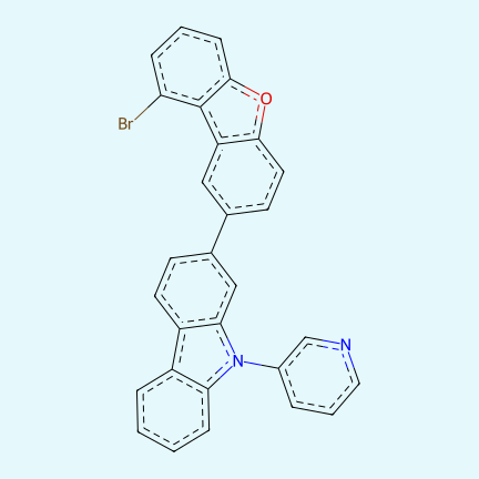 Brc1cccc2oc3ccc(-c4ccc5c6ccccc6n(-c6cccnc6)c5c4)cc3c12